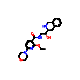 CCOc1nc(N2CCOCC2)ccc1C(=O)NC[C@@H](O)[C@@H]1Cc2ccccc2CN1